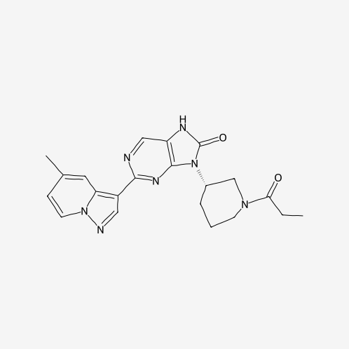 CCC(=O)N1CCC[C@H](n2c(=O)[nH]c3cnc(-c4cnn5ccc(C)cc45)nc32)C1